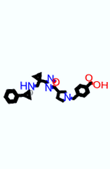 O=C(O)c1ccc(CN2CCC(c3nc(C4(CN[C@H]5CC5c5ccccc5)CC4)no3)C2)cc1